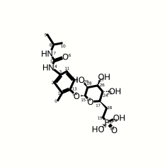 Cc1cc(NC(=O)NC(C)C)ccc1O[C@H]1O[C@H](CCP(=O)(O)O)[C@@H](O)[C@H](O)[C@@H]1O